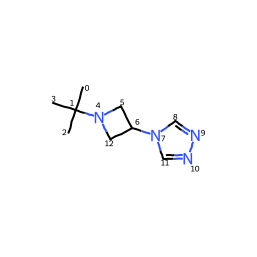 CC(C)(C)N1CC(n2cnnc2)C1